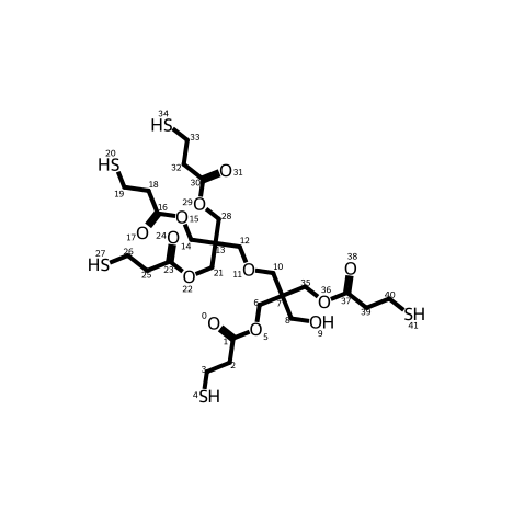 O=C(CCS)OCC(CO)(COCC(COC(=O)CCS)(COC(=O)CCS)COC(=O)CCS)COC(=O)CCS